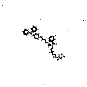 CN(C)CS(=O)(=O)NCCC(C)(C)CCn1c(=O)c2ccccc2n(CCCCN2CCC(OC(c3ccccc3)c3ccccc3)CC2)c1=O